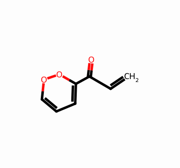 C=CC(=O)C1=CC=COO1